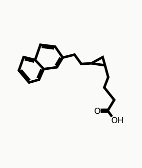 O=C(O)CCCC1CC1CCc1ccc2ccccc2c1